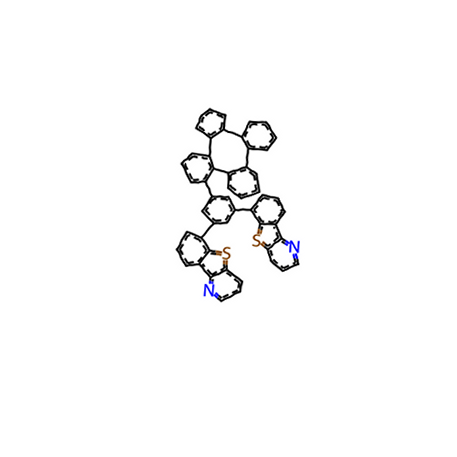 c1ccc2c(c1)-c1ccccc1-c1cccc(-c3cc(-c4cccc5c4sc4cccnc45)cc(-c4cccc5c4sc4cccnc45)c3)c1-c1ccccc1-2